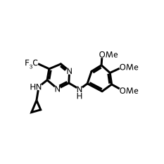 COc1cc(Nc2ncc(C(F)(F)F)c(NC3CC3)n2)cc(OC)c1OC